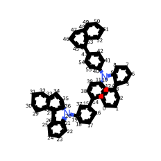 c1ccc(-c2ccccc2N(c2ccc(-c3cccc(-n4c5ccccc5c5c6ccccc6ccc54)c3)cc2)c2ccc(-c3cccc4ccccc34)cc2)cc1